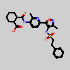 Cc1nc(-c2onc(C)c2NS(=O)(=O)CCc2ccccc2)ccc1NC(=O)C1CCCCC1C(=O)O